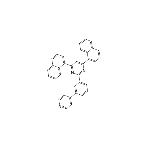 c1cc(-c2ccncc2)cc(-c2nc(-c3cccc4ccccc34)cc(-c3cccc4ccccc34)n2)c1